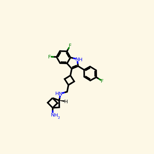 NC12CC(C1)[C@H](NCC1CC(c3c(-c4ccc(F)cc4)[nH]c4c(F)cc(F)cc34)C1)C2